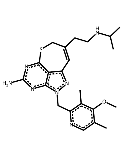 COc1c(C)cnc(Cn2nc3c4c(nc(N)nc42)SCC(CCNC(C)C)=C3)c1C